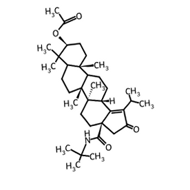 CC(=O)O[C@H]1CC[C@@]2(C)C(CC[C@]3(C)C2CC[C@@H]2C4=C(C(C)C)C(=O)C[C@]4(C(=O)NC(C)(C)C)CC[C@]23C)C1(C)C